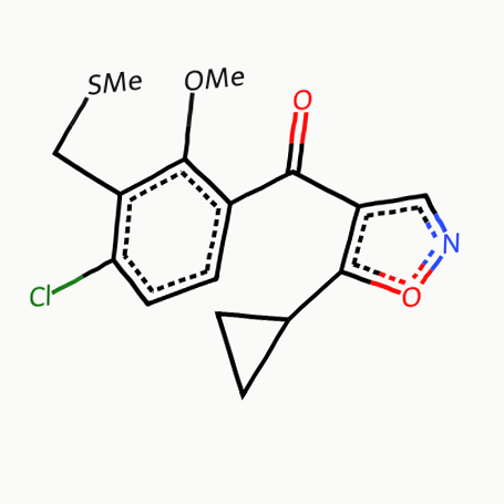 COc1c(C(=O)c2cnoc2C2CC2)ccc(Cl)c1CSC